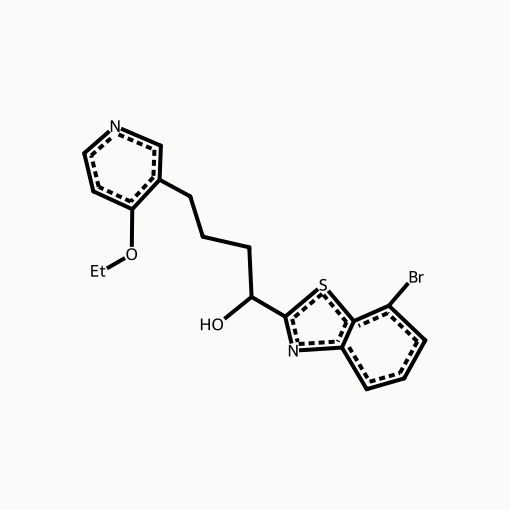 CCOc1ccncc1CCCC(O)c1nc2cccc(Br)c2s1